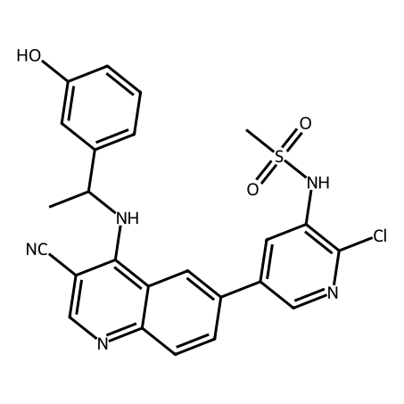 CC(Nc1c(C#N)cnc2ccc(-c3cnc(Cl)c(NS(C)(=O)=O)c3)cc12)c1cccc(O)c1